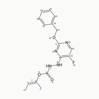 C/C=C(\C)OC(=O)NNc1nc(OCc2ccccc2)ncc1F